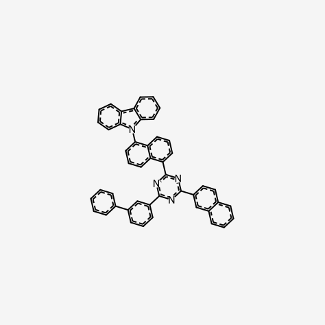 c1ccc(-c2cccc(-c3nc(-c4ccc5ccccc5c4)nc(-c4cccc5c(-n6c7ccccc7c7ccccc76)cccc45)n3)c2)cc1